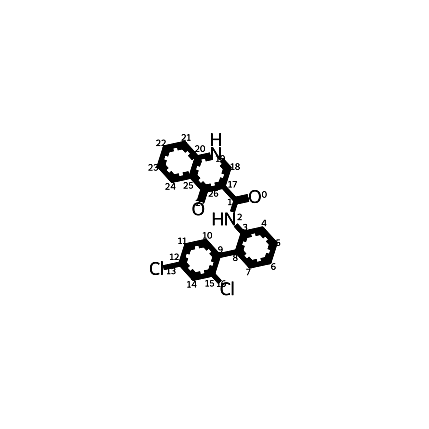 O=C(Nc1ccccc1-c1ccc(Cl)cc1Cl)c1c[nH]c2ccccc2c1=O